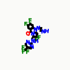 N=C/C=N\Nc1cc(F)c(F)cc1C(=O)N1CCC(F)(F)[C@H]1CNc1ncc(C(F)(F)F)cn1